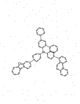 c1ccc(-c2ccc(N(c3ccc(-c4ccc5c(c4)oc4ccccc45)cc3)c3ccc(-c4cccc5c4ccc4ccccc45)cc3)c(-c3ccccc3)c2)cc1